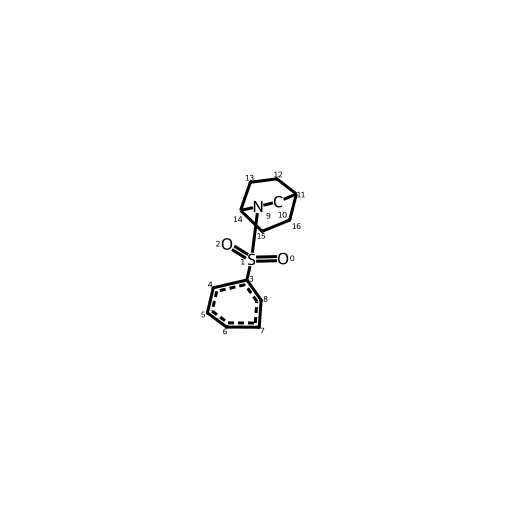 O=S(=O)(c1ccccc1)N1CC2CCC1CC2